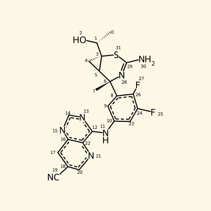 C[C@@H](O)[C@]12CC1[C@@](C)(c1cc(Nc3ncnc4cc(C#N)cnc34)cc(F)c1F)N=C(N)S2